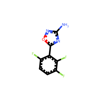 Nc1noc(-c2c(F)ccc(F)c2F)n1